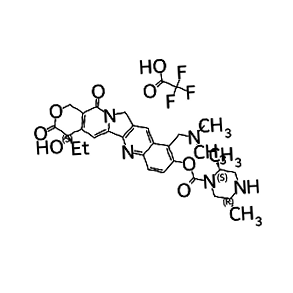 CC[C@@]1(O)C(=O)OCc2c1cc1n(c2=O)Cc2cc3c(CN(C)C)c(OC(=O)N4C[C@@H](C)NC[C@@H]4C)ccc3nc2-1.O=C(O)C(F)(F)F